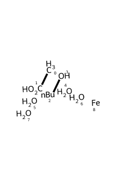 CC(=O)O.CCCCO.O.O.O.O.[Fe]